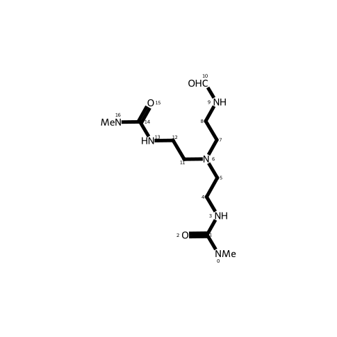 CNC(=O)NCCN(CCNC=O)CCNC(=O)NC